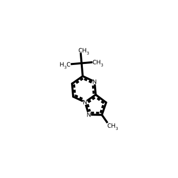 Cc1cc2nc(C(C)(C)C)ccn2n1